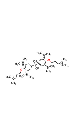 C[SiH](C)CCCOc1c([SiH](C)C)cc(C(C)(C)c2cc([SiH](C)C)c(OCCC[SiH](C)C)c([SiH](C)C)c2)cc1[SiH](C)C